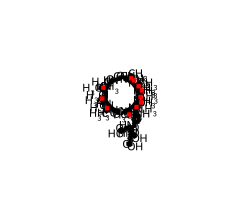 CC[C@@H]1NC(=O)[C@H]([C@H](O)[C@H](C)Cc2nc3cc(C(=O)NC(CCC(=O)O)C(=O)NC(CCC(=O)O)C(=O)O)ccc3[nH]2)N(C)C(=O)[C@H](C(C)C)N(C)C(=O)[C@H](CC(C)C)N(C)C(=O)[C@H](CC(C)C)N(C)C(=O)[C@@H](C)NC(=O)[C@H](C)NC(=O)[C@H](CC(C)C)N(C)C(=O)[C@H](C(C)C)NC(=O)[C@H](CC(C)C)N(C)C(=O)CN(C)C1=O